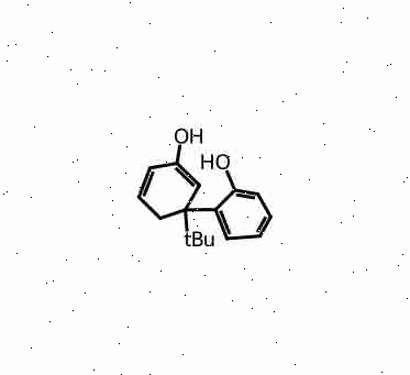 CC(C)(C)C1(c2ccccc2O)C=C(O)C=CC1